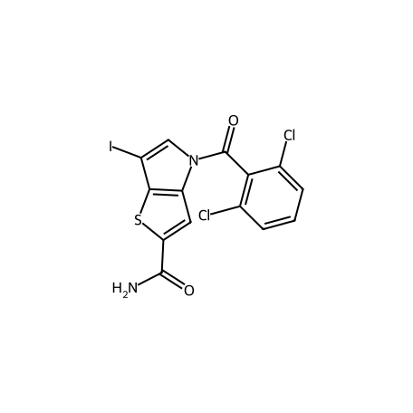 NC(=O)c1cc2c(s1)c(I)cn2C(=O)c1c(Cl)cccc1Cl